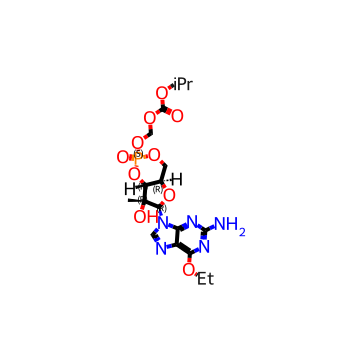 CCOc1nc(N)nc2c1ncn2[C@@H]1O[C@@H]2CO[P@](=O)(OCOC(=O)OC(C)C)O[C@H]2[C@@]1(C)O